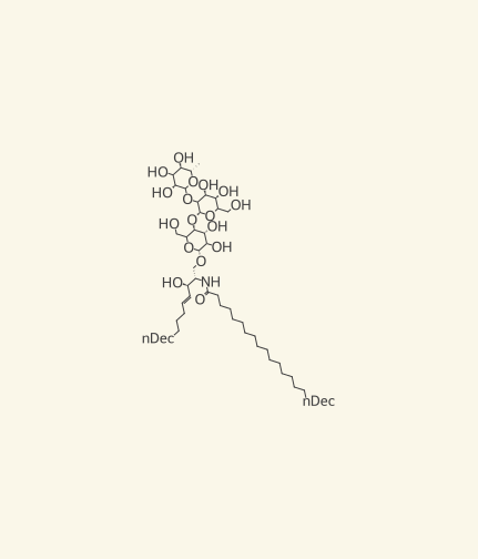 CCCCCCCCCCCCC/C=C/[C@@H](O)[C@H](CO[C@@H]1OC(CO)[C@@H](O[C@@H]2OC(CO)[C@H](O)[C@H](O)C2OC2O[C@@H](C)[C@H](O)C(O)[C@@H]2O)[C@H](O)C1O)NC(=O)CCCCCCCCCCCCCCCCCCCCCCCCC